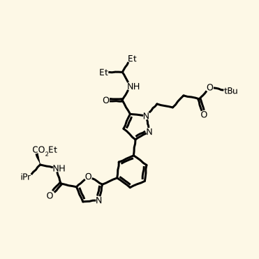 CCOC(=O)[C@@H](NC(=O)c1cnc(-c2cccc(-c3cc(C(=O)NC(CC)CC)n(CCCC(=O)OC(C)(C)C)n3)c2)o1)C(C)C